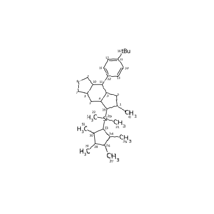 CC1CC2C(CC3CCCC3C2c2ccc(C(C)(C)C)cc2)C1[Si](C)(C)C1C(C)C(C)C(C)C1C